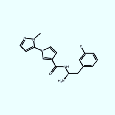 Cn1nccc1-n1ccc(C(=O)N[C@H](N)Cc2cccc(F)c2)c1